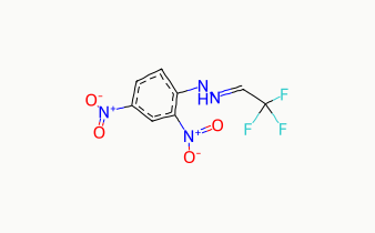 O=[N+]([O-])c1ccc(NN=CC(F)(F)F)c([N+](=O)[O-])c1